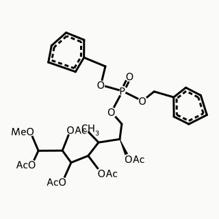 COC(OC(C)=O)C(OC(C)=O)C(OC(C)=O)C(OC(C)=O)C(C)[C@@H](COP(=O)(OCc1ccccc1)OCc1ccccc1)OC(C)=O